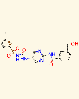 Cc1ccc(S(=O)(=O)NC(=O)Nc2cnc(NC(=O)c3cccc(CO)c3)nc2)s1